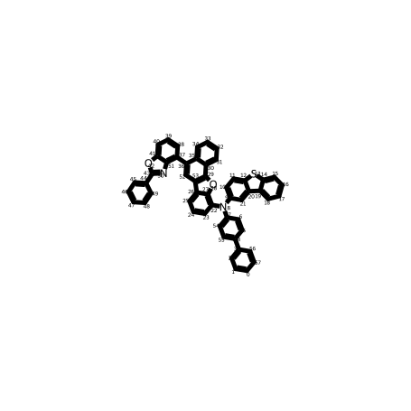 c1ccc(-c2ccc(N(c3ccc4sc5ccccc5c4c3)c3cccc4c3oc3c5ccccc5c(-c5cccc6oc(-c7ccccc7)nc56)cc43)cc2)cc1